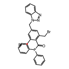 O=C(c1c(CBr)cc(Cn2nnc3ccccc32)cc1CBr)P(c1ccccc1)c1ccccc1